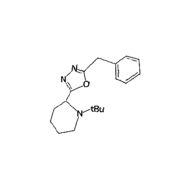 CC(C)(C)N1CCCCC1c1nnc(Cc2ccccc2)o1